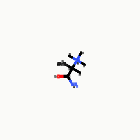 CNC(C)(C(N)=O)[N+](C)(C)C